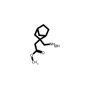 COC(=O)CC1(CN)CC2CCC1C2.Cl